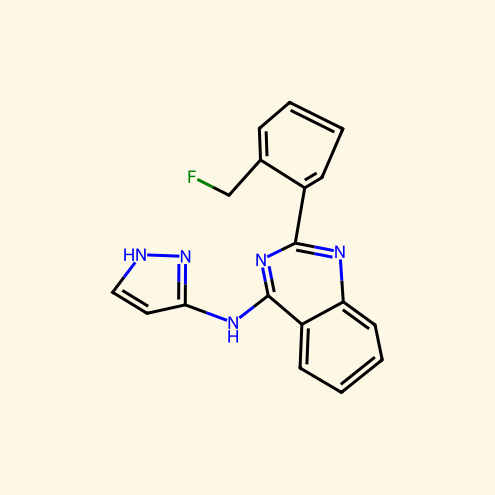 FCc1ccccc1-c1nc(Nc2cc[nH]n2)c2ccccc2n1